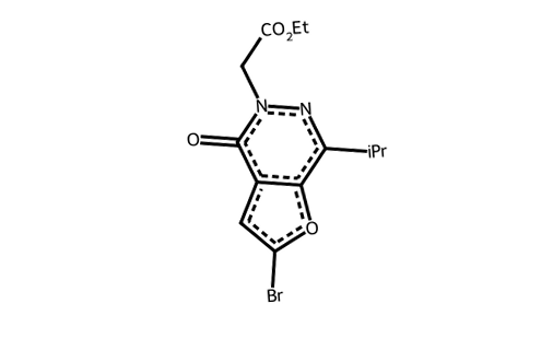 CCOC(=O)Cn1nc(C(C)C)c2oc(Br)cc2c1=O